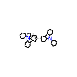 CC1(n2c3ccccc3c3cc(-c4ccc5c(c4)c4ccccc4n5-c4ccccc4)ccc32)C=CC=CC1